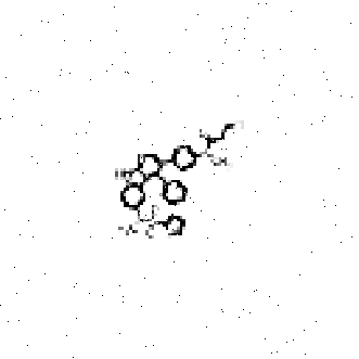 CN(C(=O)CCCl)c1ccc(-c2cnc3[nH]c4ccc(N(C)S(=O)(=O)c5cccs5)cc4c3c2-c2ccccc2)cc1